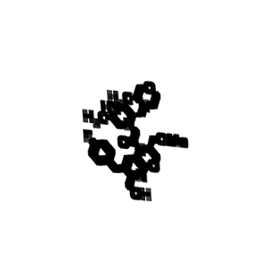 COC[C@H]1COc2nc(CO)c(Cc3ccc(F)cc3)cc2N1C(=O)CN1C[C@@H](C)NC[C@@H]1CN1CCOC[C@H]1C